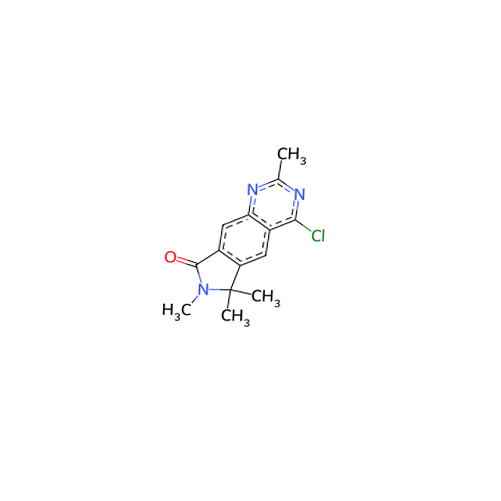 Cc1nc(Cl)c2cc3c(cc2n1)C(=O)N(C)C3(C)C